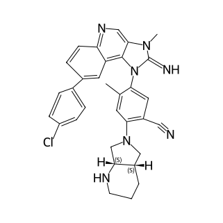 Cc1cc(N2C[C@@H]3CCCN[C@@H]3C2)c(C#N)cc1-n1c(=N)n(C)c2cnc3ccc(-c4ccc(Cl)cc4)cc3c21